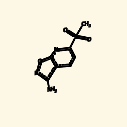 CS(=O)(=O)c1ccc2c(N)noc2n1